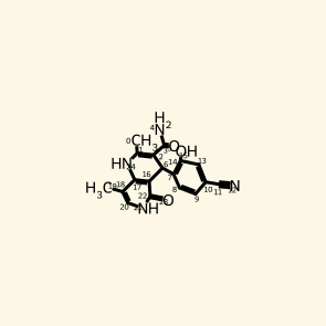 CC1=C(C(N)=O)C(c2ccc(C#N)cc2O)c2c(c(C)c[nH]c2=O)N1